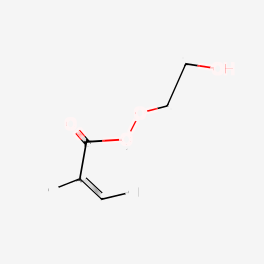 CC=C(C)C(=O)OOCCO